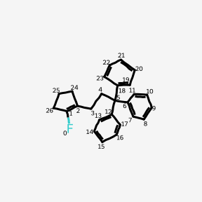 FC1=C(CCC(c2ccccc2)(c2ccccc2)c2ccccc2)CCC1